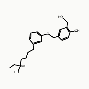 CCC(C)(O)CCCCc1cccc(OCc2ccc(O)c(CO)c2)c1